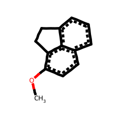 COc1ccc2cccc3c2c1CC3